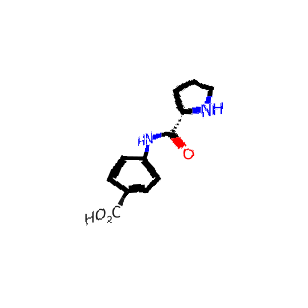 O=C(O)c1ccc(NC(=O)[C@@H]2CCCN2)cc1